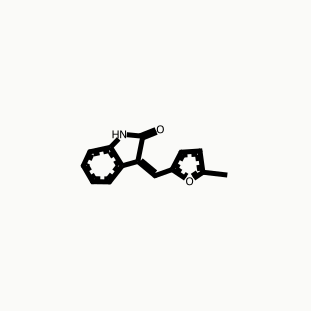 Cc1ccc(C=C2C(=O)Nc3ccccc32)o1